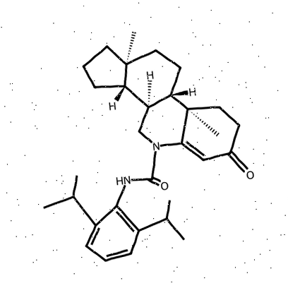 CC(C)c1cccc(C(C)C)c1NC(=O)N1C[C@H]2[C@@H]3CCC[C@@]3(C)CC[C@@H]2[C@@]2(C)CCC(=O)C=C12